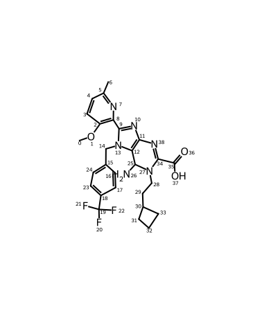 COc1ccc(C)nc1-c1nc2c(n1Cc1ccc(C(F)(F)F)cc1)C(N)N(CCC1CCC1)C(C(=O)O)=N2